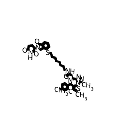 Cc1sc2c(c1C)C(c1ccc(Cl)cc1)=N[C@@H](CC(=O)NCCCCCCCCSc1cccc3c1CN(C1CCC(=O)NC1=O)C3=O)c1nnc(C)n1-2